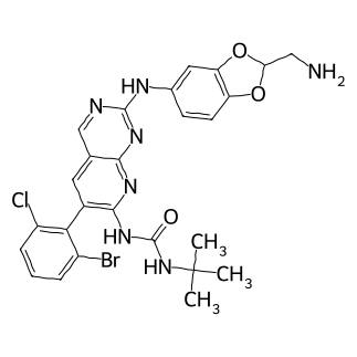 CC(C)(C)NC(=O)Nc1nc2nc(Nc3ccc4c(c3)OC(CN)O4)ncc2cc1-c1c(Cl)cccc1Br